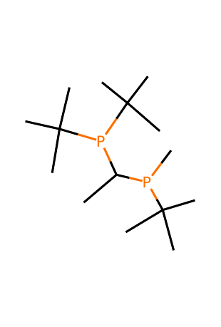 CC(P(C)C(C)(C)C)P(C(C)(C)C)C(C)(C)C